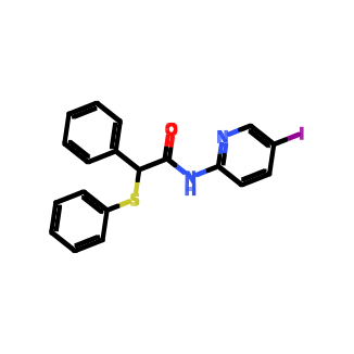 O=C(Nc1ccc(I)cn1)C(Sc1ccccc1)c1ccccc1